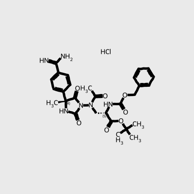 CC(=O)N(C[C@H](NC(=O)OCc1ccccc1)C(=O)OC(C)(C)C)N1C(=O)N[C@](C)(c2ccc(C(=N)N)cc2)C1=O.Cl